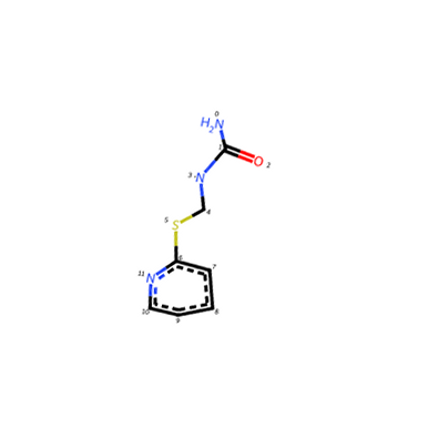 NC(=O)[N]CSc1ccccn1